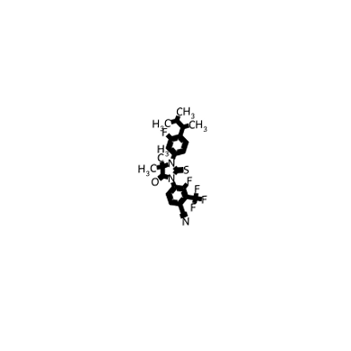 CC(C)C(C)c1ccc(N2C(=S)N(c3ccc(C#N)c(C(F)(F)F)c3F)C(=O)C2(C)C)cc1F